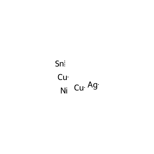 [Ag].[Cu].[Cu].[Ni].[Sn]